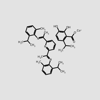 CC(=Nc1c(C)cccc1C(C)C)c1cccc(C(C)=Nc2c(C)cccc2C(C)C)n1.CC(C)c1ccc(O)c(O)c1C(=O)[O-].[Co+]